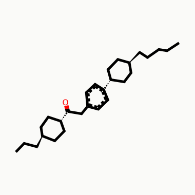 CCCCC[C@H]1CC[C@H](c2ccc(CC(=O)[C@H]3CC[C@H](CCC)CC3)cc2)CC1